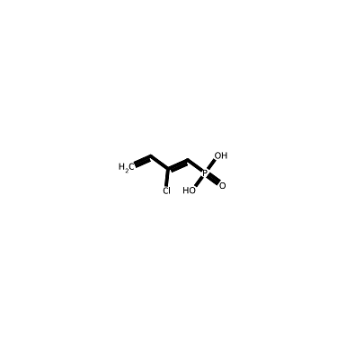 C=CC(Cl)=CP(=O)(O)O